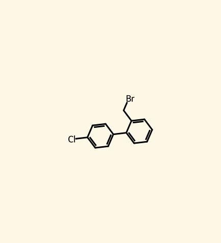 Clc1ccc(-c2ccccc2CBr)cc1